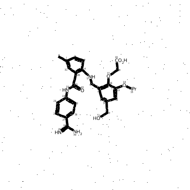 Cc1ccc(NCc2cc(CO)cc(OC(C)C)c2OCC(=O)O)c(C(=O)Nc2ccc(C(=N)N)cc2)c1